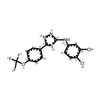 FC(F)(F)Oc1ccc(-c2nnc(Nc3ccc(Cl)c(Cl)c3)s2)cc1